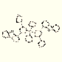 c1ccc(-c2cc(-c3cccc4c3oc3ccccc34)cc([Si](c3ccccc3)(c3ccccc3)c3cc(-c4ccccc4)cc(-c4cccc5c4oc4ccccc45)c3)c2)cc1